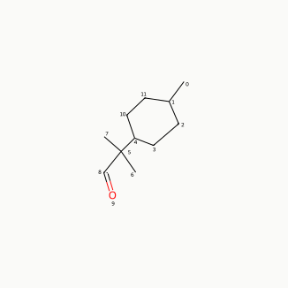 CC1CCC(C(C)(C)[C]=O)CC1